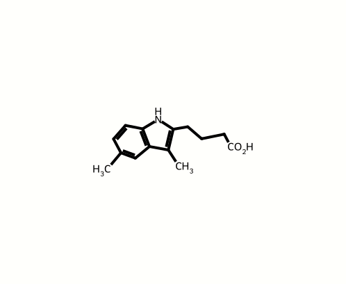 Cc1ccc2[nH]c(CCCC(=O)O)c(C)c2c1